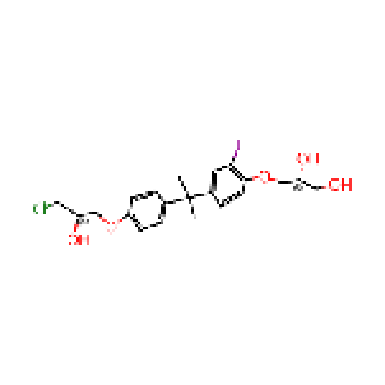 CC(C)(c1ccc(OC[C@@H](O)CCl)cc1)c1ccc(OC[C@H](O)CO)c(I)c1